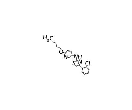 CCCCCOc1ccc(Nc2nc(-c3ccccc3Cl)cs2)cn1